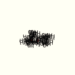 C[C@@H]1C2=CC[C@@H]3[C@@](C)([C@H](O)C[C@]4(C)[C@@H]([C@@](C)(O)CC[C@@H](O[C@@H]5O[C@H](CO[C@@H]6O[C@H](CO)[C@@H](O)[C@H](O)[C@H]6O)[C@@H](O)[C@H](O)[C@H]5O[C@@H]5O[C@H](CO)[C@@H](O)[C@H](O)[C@H]5O)C(C)(C)O)CC[C@@]34C)[C@@H]2CC[C@@H]1O[C@@H]1O[C@H](CO[C@@H]2O[C@H](CO)[C@@H](O)[C@H](O)[C@H]2O)[C@@H](O)[C@H](O)[C@H]1O